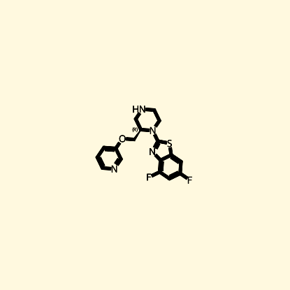 Fc1cc(F)c2nc(N3CCNC[C@@H]3COc3cccnc3)sc2c1